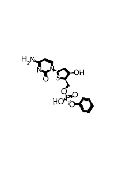 Nc1ccn([C@H]2C[C@@H](O)[C@@H](COP(=O)(O)Oc3ccccc3)S2)c(=O)n1